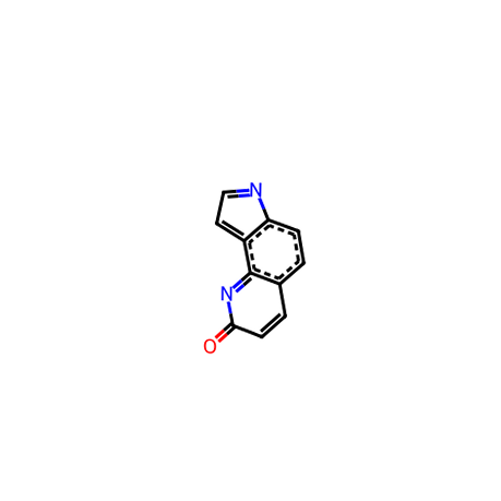 O=C1C=Cc2ccc3c(c2=N1)=CC=N3